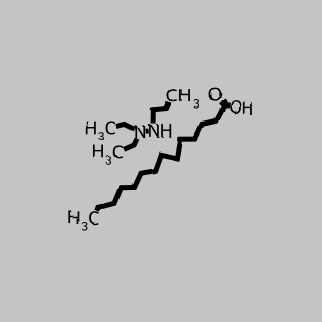 CCCCCCCCCCCCCC(=O)O.CCCNN(CC)CC